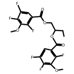 CCC(COC(=O)c1cc(F)c(F)c(OC)c1F)OC(=O)c1cc(F)c(F)c(OC)c1F